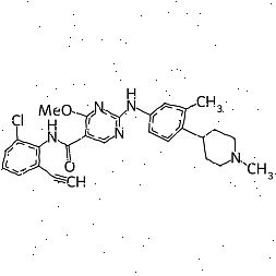 C#Cc1cccc(Cl)c1NC(=O)c1cnc(Nc2ccc(C3CCN(C)CC3)c(C)c2)nc1OC